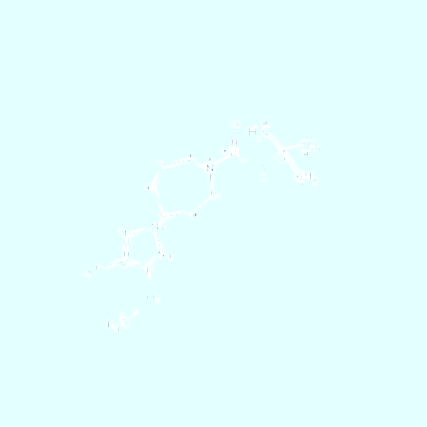 COc1nn(C2CCCN(C(=O)OC(C)(C)C)CC2)cc1I